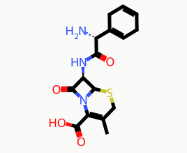 CC1=C(C(=O)O)N2C(=O)[C@@H](NC(=O)[C@H](N)C3=CCC=CC3)C2SC1